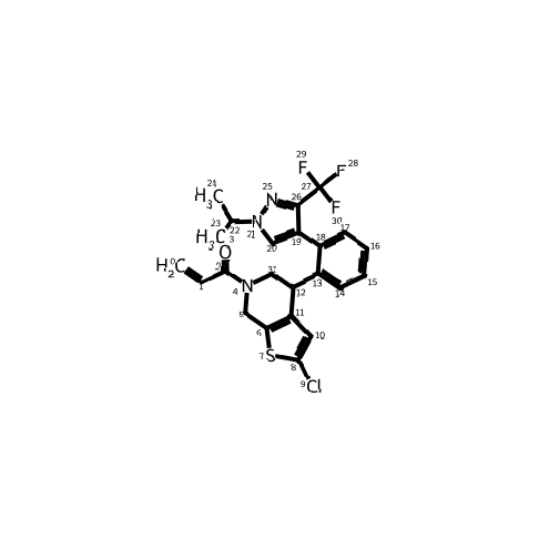 C=CC(=O)N1Cc2sc(Cl)cc2C(c2ccccc2-c2cn(C(C)C)nc2C(F)(F)F)C1